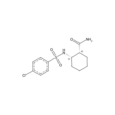 NC(=O)[C@@H]1CCCC[C@@H]1NS(=O)(=O)c1ccc(Cl)cc1